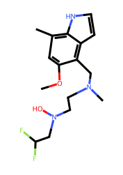 COc1cc(C)c2[nH]ccc2c1CN(C)CCN(O)CC(F)F